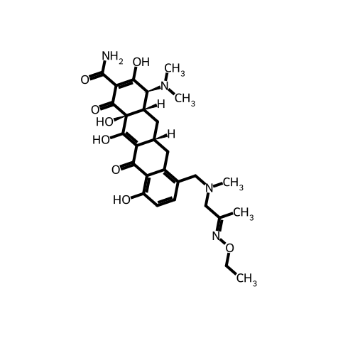 CCO/N=C(\C)CN(C)Cc1ccc(O)c2c1C[C@H]1C[C@H]3[C@H](N(C)C)C(O)=C(C(N)=O)C(=O)[C@@]3(O)C(O)=C1C2=O